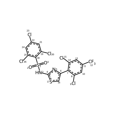 O=S(=O)(Nc1nc(-c2c(Cl)cc(C(F)(F)F)cc2Cl)cs1)c1c(Cl)cc(Cl)cc1Cl